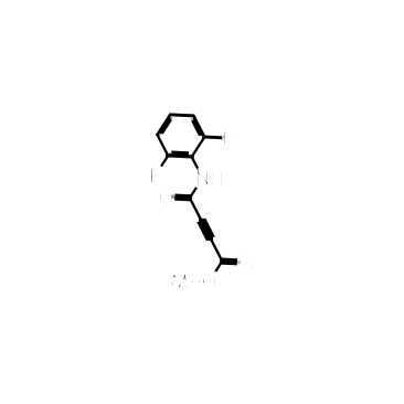 COC(=O)C#CC(=O)Nc1c(F)cccc1F